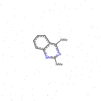 CNc1nc(NC)c2ccccc2n1